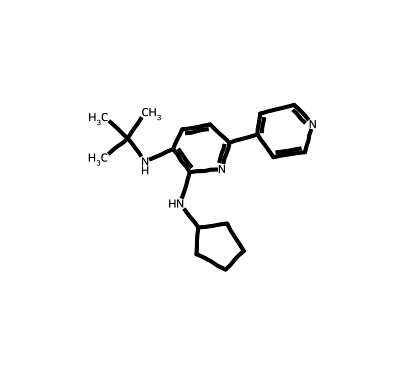 CC(C)(C)Nc1ccc(-c2ccncc2)nc1NC1CCCC1